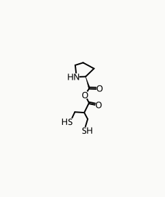 O=C(OC(=O)[C@@H]1CCCN1)C(CS)CS